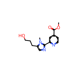 COC(=O)c1ccnc(-c2ncc(CCCO)n2C)c1